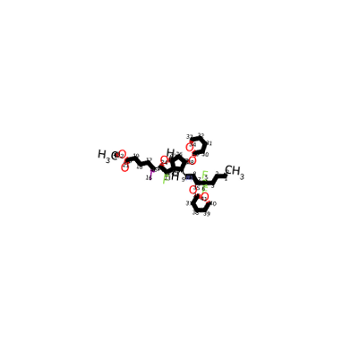 CCCCC(F)(F)[C@@H](/C=C/[C@@H]1[C@H]2C(F)[C@H](C(I)CCCC(=O)OC)O[C@@H]2C[C@H]1OC1CCCCO1)OC1CCCCO1